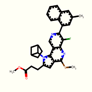 COC(=O)CCc1cc2c(SC)nc3c(F)c(-c4cc(C)cc5ccccc45)ncc3c2n1C1C2CCC1C2